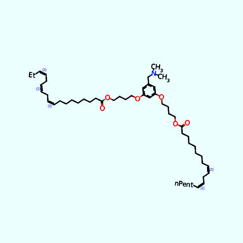 CC/C=C\C/C=C\C/C=C\CCCCCCCC(=O)OCCCCOc1cc(CN(C)C)cc(OCCCCOC(=O)CCCCCCC/C=C\C/C=C\CCCCC)c1